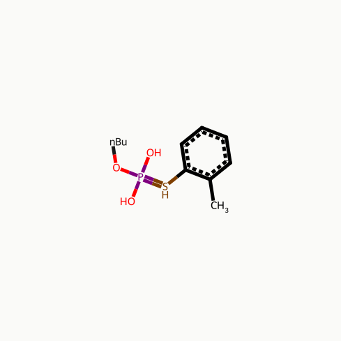 CCCCOP(O)(O)=[SH]c1ccccc1C